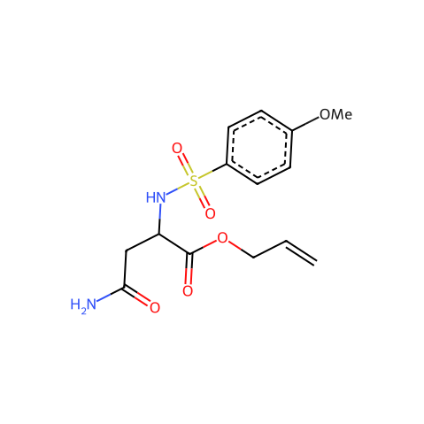 C=CCOC(=O)C(CC(N)=O)NS(=O)(=O)c1ccc(OC)cc1